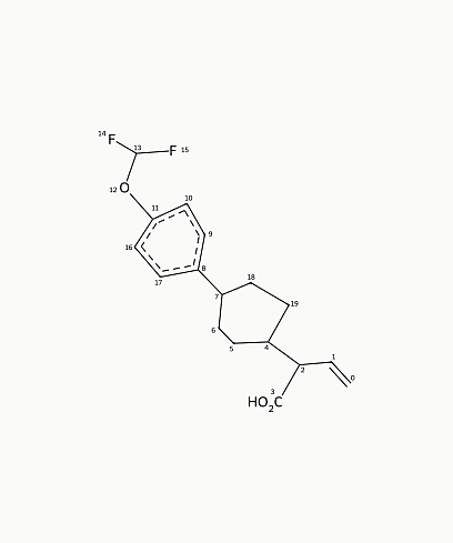 C=CC(C(=O)O)C1CCC(c2ccc(OC(F)F)cc2)CC1